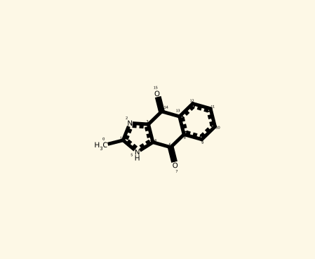 Cc1nc2c([nH]1)C(=O)c1ccccc1C2=O